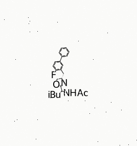 CC[C@H](C)C(NC(C)=O)C1=N[C@@H](Cc2cc(-c3ccccc3)ccc2F)CO1